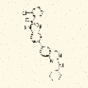 O=S(=O)(Nc1ccc(-c2ccc3nc(NC4CCCCC4)ncc3c2)cc1F)c1ccccc1Cl